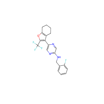 Fc1ccccc1CNc1cnc(-c2c(C(F)(F)F)oc3c2CCCC3)cn1